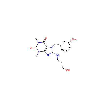 COc1cccc(Cn2c(NCCCO)nc3c2c(=O)n(C)c(=O)n3C)c1